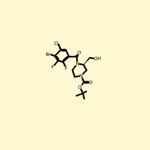 CC(C)(C)OC(=O)N1CCN(C(=O)c2cc(Cl)c(Br)c(F)c2F)[C@@H](CO)C1